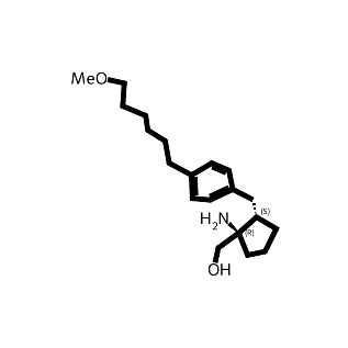 COCCCCCCc1ccc(C[C@@H]2CCC[C@]2(N)CO)cc1